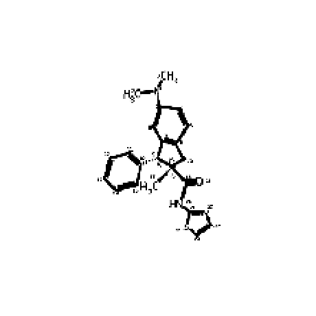 CN(C)c1ccc2c(c1)[C@@H](c1ccccc1)[C@@](C)(C(=O)Nc1nccs1)C2